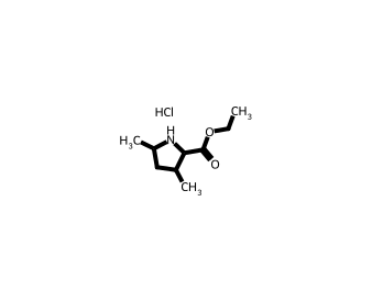 CCOC(=O)C1NC(C)CC1C.Cl